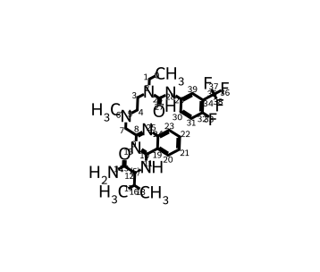 CCN(CCN(C)Cc1nc(N[C@H](C(N)=O)C(C)C)c2ccccc2n1)C(=O)Nc1ccc(F)c(C(F)(F)F)c1